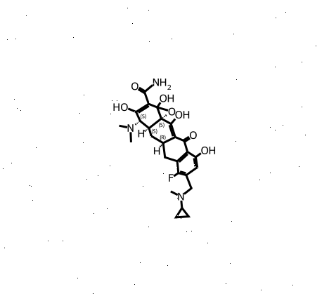 CN(Cc1cc(O)c2c(c1F)C[C@H]1C[C@H]3[C@H](N(C)C)C(O)=C(C(N)=O)C4(O)O[C@]34C(O)=C1C2=O)C1CC1